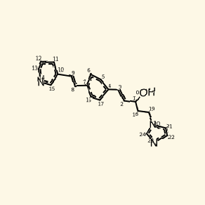 OC(C=Cc1ccc(C=Cc2cccnc2)cc1)CCn1ccnc1